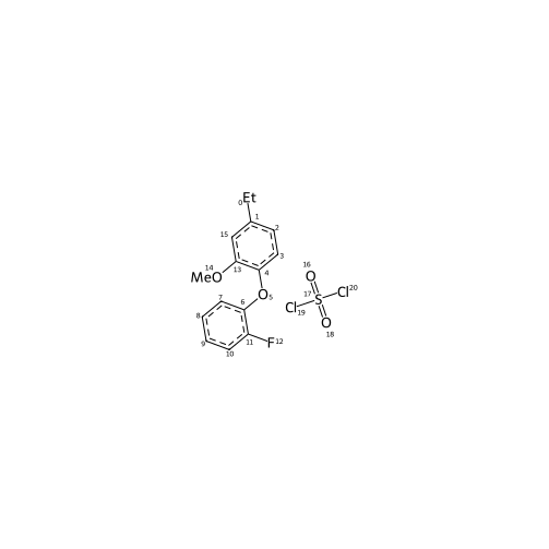 CCc1ccc(Oc2ccccc2F)c(OC)c1.O=S(=O)(Cl)Cl